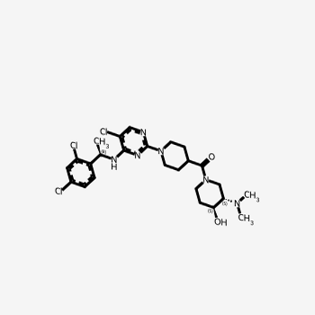 C[C@@H](Nc1nc(N2CCC(C(=O)N3CC[C@H](O)[C@@H](N(C)C)C3)CC2)ncc1Cl)c1ccc(Cl)cc1Cl